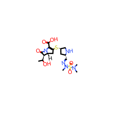 CC(O)[C@H]1C(=O)N2C(C(=O)O)=C(S[C@@H]3CN[C@H](C=NN(C)S(=O)(=O)N(C)C)C3)C[C@H]12